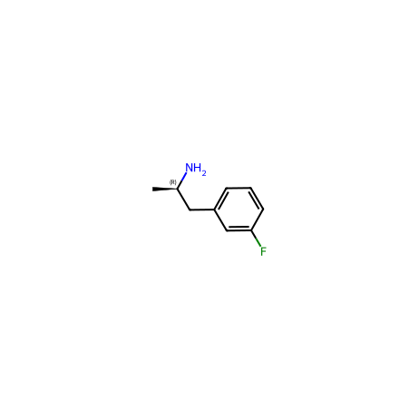 C[C@@H](N)Cc1cccc(F)c1